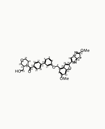 COc1cc(COc2cccc(-c3ccc(C(=O)N4CCOC[C@@H]4CO)cc3)c2)c2cc(-c3cn4nc(OC)sc4n3)oc2c1